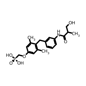 Cc1cc(OCP(=O)(O)O)cc(C)c1Cc1cccc(NC(=O)C(C)CO)c1